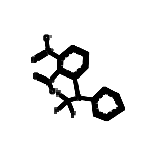 O=[N+]([O-])c1cccc(N(c2ccccc2)C(F)(F)F)c1[N+](=O)[O-]